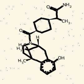 CC(C(N)=O)[C@H]1CC[C@@H](C(=O)N2CC[C@@]3(C)c4cccc(O)c4C[C@@H]2C3(C)C)CC1